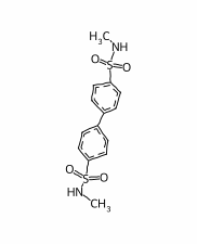 CNS(=O)(=O)c1ccc(-c2ccc(S(=O)(=O)NC)cc2)cc1